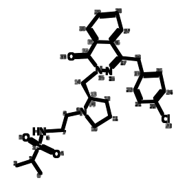 CC(C)S(=O)(=O)NCCN1CCC[C@@H]1Cn1nc(Cc2ccc(Cl)cc2)c2ccccc2c1=O